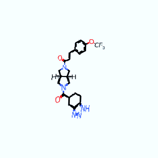 O=C(C=Cc1ccc(OC(F)(F)F)cc1)N1C[C@@H]2CN(C(=O)C3CCc4[nH]nnc4C3)C[C@@H]2C1